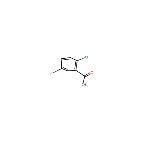 CC(=O)c1cc(Br)ccc1Cl